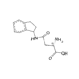 N[C@@H](CC(=O)NC1CCc2ccccc21)C(=O)O